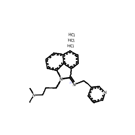 CN(C)CCCN1/C(=N/Cc2cccnc2)c2cccc3cccc1c23.Cl.Cl.Cl